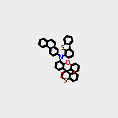 c1ccc2c(c1)Oc1c(N(c3ccc4c(ccc5ccccc54)c3)c3cccc4c3sc3ccccc34)cccc1C21c2ccccc2Sc2ccccc21